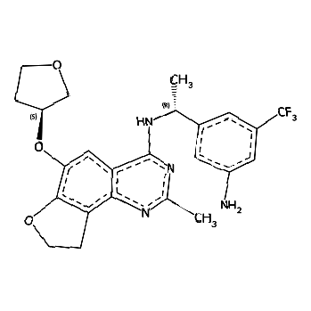 Cc1nc(N[C@H](C)c2cc(N)cc(C(F)(F)F)c2)c2cc(O[C@H]3CCOC3)c3c(c2n1)CCO3